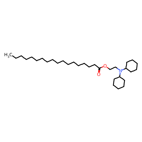 CCCCCCCCCCCCCCCCCC(=O)OCCN(C1CCCCC1)C1CCCCC1